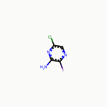 Nc1nc(Cl)cnc1I